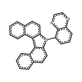 c1ccc2c(c1)ccc1c2c2c3ccccc3ccc2n1-c1cccc2nccnc12